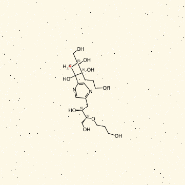 C[C@H](O)[C@@](O)(CCCO)C(O)(CCCO)c1cnc(C[C@H](O)[C@H](CO)OCCCO)cn1